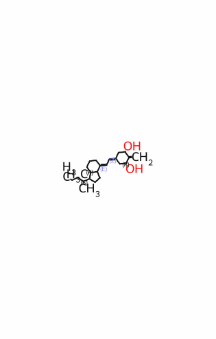 C=C1C(O)C/C(=C/C=C2\CCC[C@@]3(C)C2CCC3[C@@H](C)CCC)C[C@H]1O